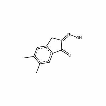 Cc1cc2c(cc1C)C(=O)C(=NO)C2